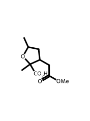 COC(=O)CC1CC(C)OC1(C)C(=O)O